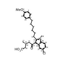 COc1ccc(CCCCCCc2c(C(=O)C[C@H](C)CC(=O)O)c3cc(Cl)ccc3n2C)cc1